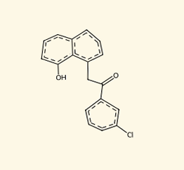 O=C(Cc1cccc2cccc(O)c12)c1cccc(Cl)c1